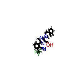 Cc1nc(N2CCC3(CCC[C@H]3C)CC2)c(CO)nc1-c1cccc(C(F)(F)F)c1C#N